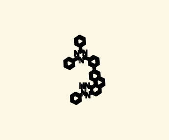 N=C1/C(=N\Nc2ccccc2)C=Cc2ccc3cc(-c4cccc(-c5nc(-c6ccccc6)nc(-c6ccccc6)n5)c4)ccc3c21